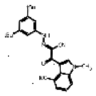 Cn1cc(C(=O)/C(C#N)=N/Nc2cc(C(C)(C)C)cc(C(C)(C)C)c2)c2c(C#N)cccc21